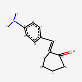 CN(C)c1ccc(C=C2CCCCC2=O)cc1